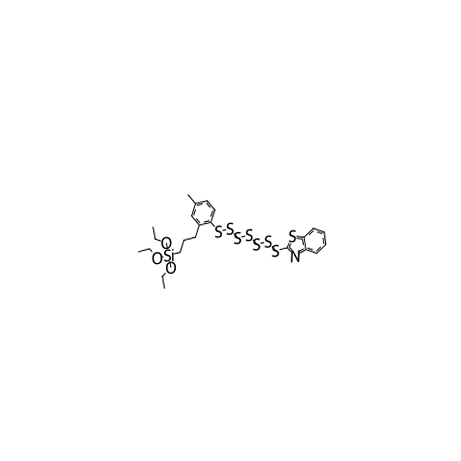 CCO[Si](CCCc1cc(C)ccc1SSSSSSSc1nc2ccccc2s1)(OCC)OCC